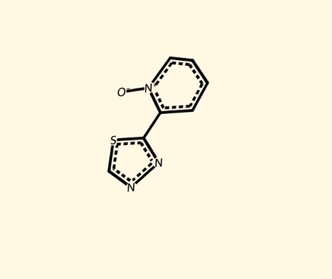 [O-][n+]1ccccc1-c1nncs1